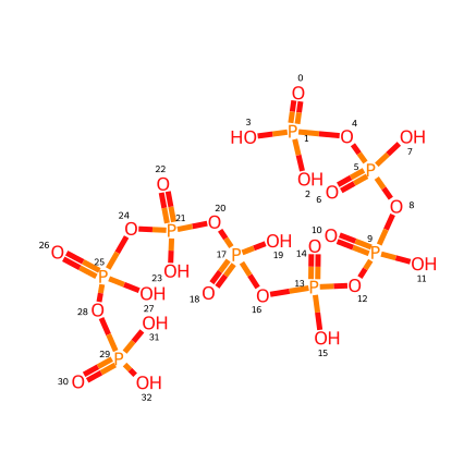 O=P(O)(O)OP(=O)(O)OP(=O)(O)OP(=O)(O)OP(=O)(O)OP(=O)(O)OP(=O)(O)OP(=O)(O)O